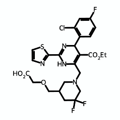 CCOC(=O)C1=C(CN2CC(COCC(=O)O)CC(F)(F)C2)NC(c2nccs2)=NC1c1ccc(F)cc1Cl